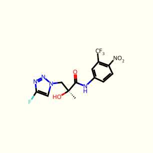 C[C@](O)(Cn1cc(F)nn1)C(=O)Nc1ccc([N+](=O)[O-])c(C(F)(F)F)c1